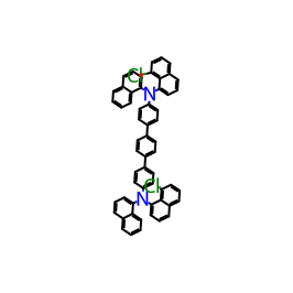 Clc1cccc2cccc(N(c3ccc(-c4ccc(-c5ccc(N(c6cccc7ccccc67)c6cccc7cccc(Cl)c67)cc5)cc4)cc3)c3cccc4ccccc34)c12